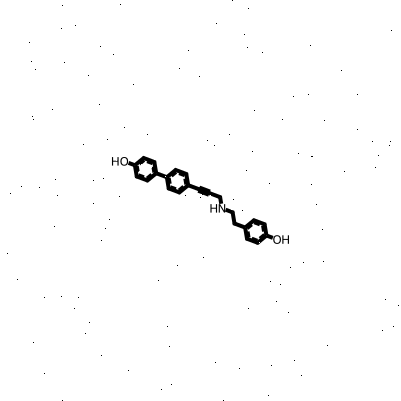 Oc1ccc(CCNCC#Cc2ccc(-c3ccc(O)cc3)cc2)cc1